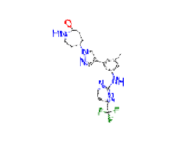 Cc1cc(Nc2nccc(C(F)(F)F)n2)cc(-c2cnn(C3CCNC(=O)CC3)c2)c1